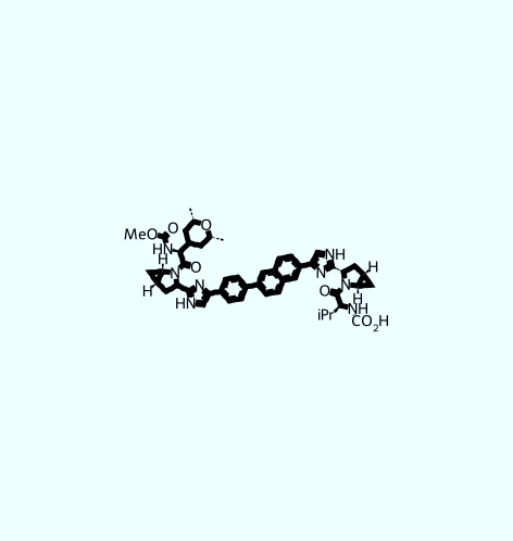 COC(=O)N[C@H](C(=O)N1C(c2nc(-c3ccc(-c4ccc5cc(-c6c[nH]c([C@@H]7C[C@H]8C[C@H]8N7C(=O)[C@@H](NC(=O)O)C(C)C)n6)ccc5c4)cc3)c[nH]2)C[C@H]2C[C@H]21)C1C[C@@H](C)O[C@@H](C)C1